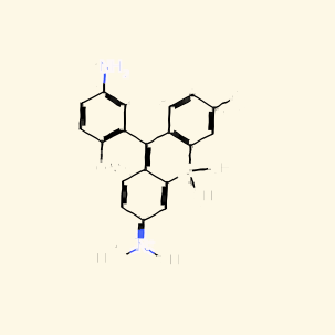 COc1ccc(N)cc1C1=C2C=CC(=[N+](C)C)C=C2[Si](C)(C)c2cc(C)ccc21